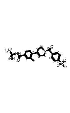 Cc1cc(C(=O)NC(=N)N)ccc1C1=CCN(C(=O)c2ccc(S(C)(=O)=O)cc2)CC1